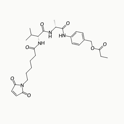 CCC(=O)OCc1ccc(NC(=O)[C@@H](C)NC(=O)[C@H](NC(=O)CCCCCN2C(=O)C=CC2=O)C(C)C)cc1